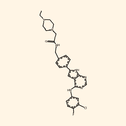 CCN1CCN(CC(=O)NCc2ccc(-c3cc4c(Nc5ccc(F)c(Cl)c5)ncnc4[nH]3)cc2)CC1